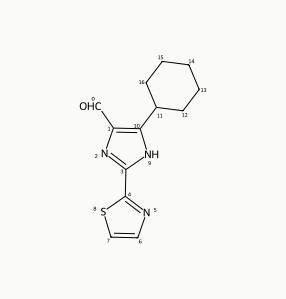 O=Cc1nc(-c2nccs2)[nH]c1C1CCCCC1